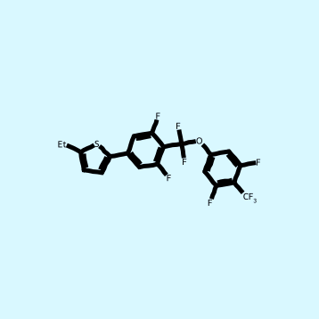 CCc1ccc(-c2cc(F)c(C(F)(F)Oc3cc(F)c(C(F)(F)F)c(F)c3)c(F)c2)s1